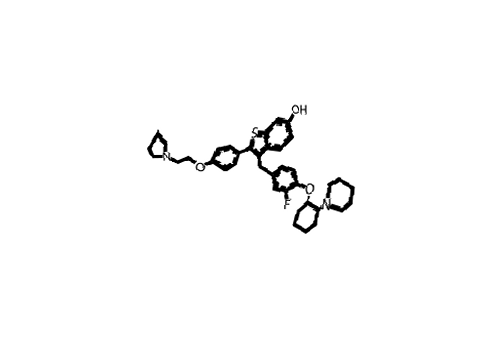 Oc1ccc2c(Cc3ccc(O[C@H]4CCCC[C@@H]4N4CCCCC4)c(F)c3)c(-c3ccc(OCCN4CCCC4)cc3)sc2c1